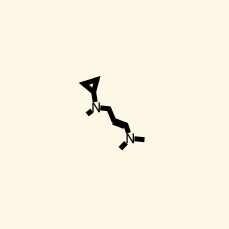 CN(C)C=CCN(C)C1CC1